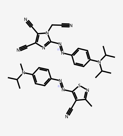 CC(C)N(c1ccc(/N=N/c2nc(C#N)c(C#N)n2CC#N)cc1)C(C)C.Cc1nsc(/N=N/c2ccc(N(C)C(C)C)cc2)c1C#N